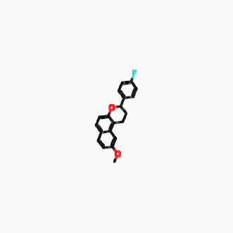 COc1ccc2ccc3c(c2c1)CCC(c1ccc(F)cc1)O3